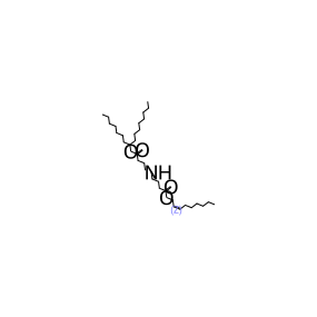 CCCCCC/C=C\COC(=O)CCCNCCCC(=O)OC(CCCCCCC)CCCCCCCC